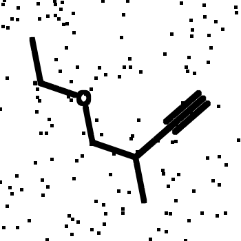 C#CC(C)CO[CH]C